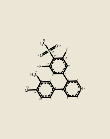 Cc1cc(-c2ccncc2-c2cc(F)c(S(C)(=O)=O)c(F)c2)ccc1Cl